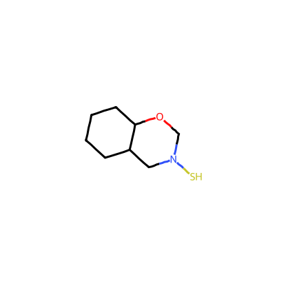 SN1COC2CCCCC2C1